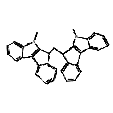 Cn1c2c(c3ccccc31)-c1ccccc1C2CC1c2ccccc2-c2c1n(C)c1ccccc21